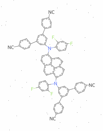 [C-]#[N+]c1ccc(-c2cc(-c3ccc(C#N)cc3)cc(N(c3ccc(F)cc3F)c3ccc4ccc5c(N(c6cc(-c7ccc(C#N)cc7)cc(-c7ccc([N+]#[C-])cc7)c6)c6ccc(F)cc6F)ccc6ccc3c4c65)c2)cc1